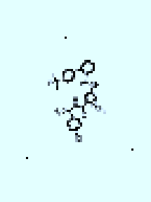 CC(NC(=O)c1cc(NC(=O)c2ccccc2-c2ccc(C(F)(F)F)cc2)cn1C)c1ccc(Cl)cc1